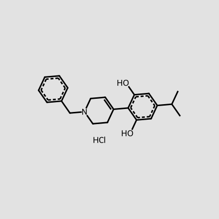 CC(C)c1cc(O)c(C2=CCN(Cc3ccccc3)CC2)c(O)c1.Cl